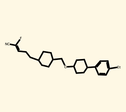 CCc1ccc(C2CCC(OCC3CCC(CCC=C(F)C#N)CC3)CC2)cc1